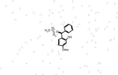 COc1ccc(C(=O)c2ccccc2)c(O)c1.O.O.O